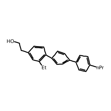 CCCc1ccc(-c2ccc(-c3ccc(CCO)cc3CC)cc2)cc1